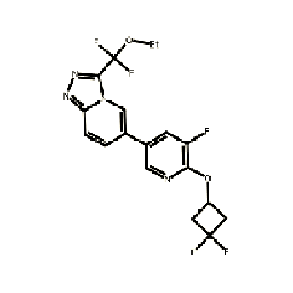 CCOC(F)(F)c1nnc2ccc(-c3cnc(OC4CC(F)(F)C4)c(F)c3)cn12